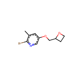 Cc1cc(OCC2CCO2)cnc1Br